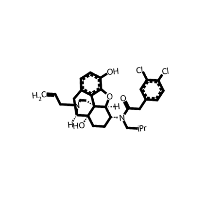 C=CCN1CC[C@]23c4c5ccc(O)c4O[C@H]2[C@H](N(CC(C)C)C(=O)Cc2ccc(Cl)c(Cl)c2)CC[C@@]3(O)[C@H]1C5